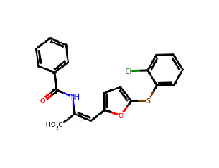 O=C(O)/C(=C/c1ccc(Sc2ccccc2Cl)o1)NC(=O)c1ccccc1